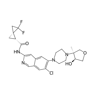 C[C@]1(N2CCN(c3cc4cc(NC(=O)[C@@H]5C[C@@]56CC6(F)F)ncc4cc3Cl)CC2)COC[C@H]1O